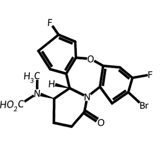 CN(C(=O)O)[C@@H]1CCC(=O)N2c3cc(Br)c(F)cc3Oc3cc(F)ccc3[C@@H]12